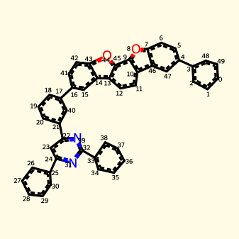 c1ccc(-c2ccc3oc4c(ccc5c6cc(-c7cccc(-c8cc(-c9ccccc9)nc(-c9ccccc9)n8)c7)ccc6oc54)c3c2)cc1